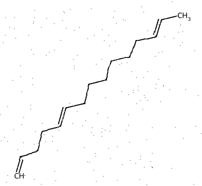 [CH]=CCCC=CCCCCCCC=CC